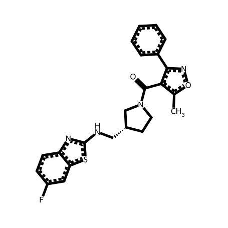 Cc1onc(-c2ccccc2)c1C(=O)N1CC[C@H](CNc2nc3ccc(F)cc3s2)C1